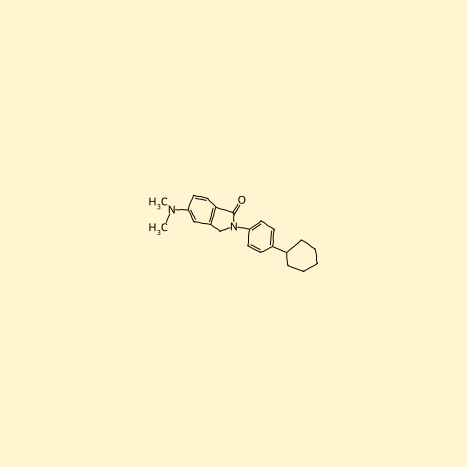 CN(C)c1ccc2c(c1)CN(c1ccc(C3CCCCC3)cc1)C2=O